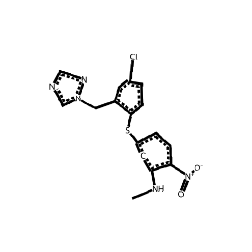 CNc1cc(Sc2ccc(Cl)cc2Cn2cncn2)ccc1[N+](=O)[O-]